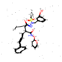 CC(C)C[C@@H](C(=O)NN(Cc1cccc(O)c1)S(C)(=O)=O)[C@H](CC=Cc1ccccc1)C(=O)NOC1CCCCO1